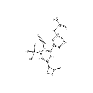 C[C@H]1CCN1c1nc(-c2cccc(CC(=O)O)c2)c(C#N)c(C(F)(F)F)n1